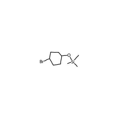 C[Si](C)(C)OC1CCC(Br)CC1